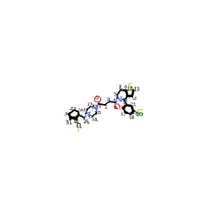 O=C(CCC(=O)N1CCc2sccc2C1c1cccc(F)c1)N1CCN(Cc2ccccc2F)CC1